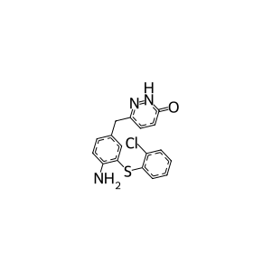 Nc1ccc(Cc2ccc(=O)[nH]n2)cc1Sc1ccccc1Cl